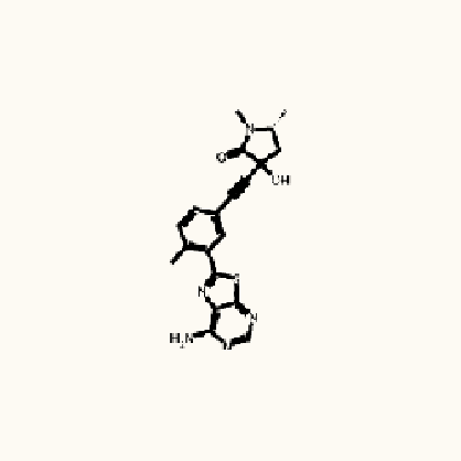 Cc1ccc(C#CC2(O)C[C@@H](C)N(C)C2=O)cc1-c1nc2c(N)ncnc2s1